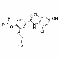 O=C(Nc1c(Cl)c[n+](O)cc1Cl)c1ccc(OC(F)F)c(OCC2CC2)c1